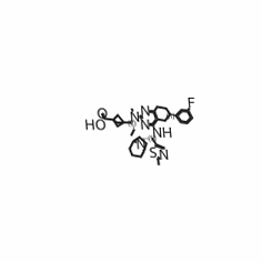 CC[C@@H](N(C)c1nc2c(c(N[C@@H](CN3C4CCCC3CC4)c3cnc(C)s3)n1)C[C@H](c1cccc(F)c1)CC2)C12CC(C(=O)O)(C1)C2